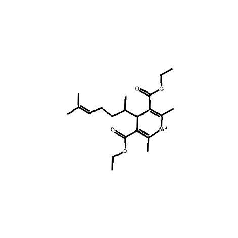 CCOC(=O)C1=C(C)NC(C)=C(C(=O)OCC)C1C(C)CCC=C(C)C